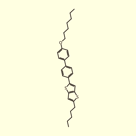 CCCCCCCOc1ccc(-c2ccc(-c3cc4sc(CCCCC)cc4s3)cc2)cc1